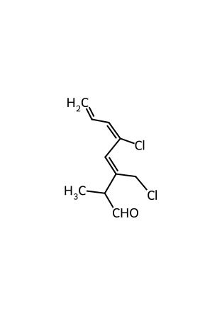 C=C/C=C(Cl)\C=C(/CCl)C(C)C=O